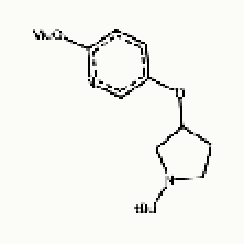 COc1ccc(OC2CCN(C(C)(C)C)C2)cn1